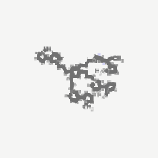 C=C/C(=C\C=C/NCCCc1cc(CCC[n+]2cccc(C3CCCN3C)c2)c(CCC[n+]2cccc(C3CCCN3C)c2)cc1CCC[n+]1cccc(C2CCCN2C)c1)C1CCCN1C